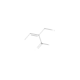 C/C=C(/CBr)C(=O)O